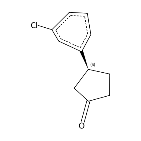 O=C1CC[C@H](c2cccc(Cl)c2)C1